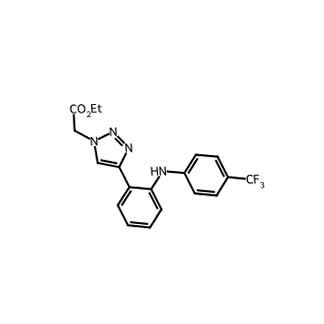 CCOC(=O)Cn1cc(-c2ccccc2Nc2ccc(C(F)(F)F)cc2)nn1